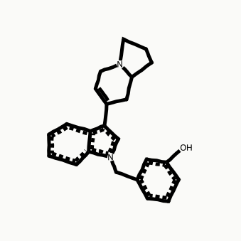 Oc1cccc(Cn2cc(C3=CCN4CCCC4C3)c3ccccc32)c1